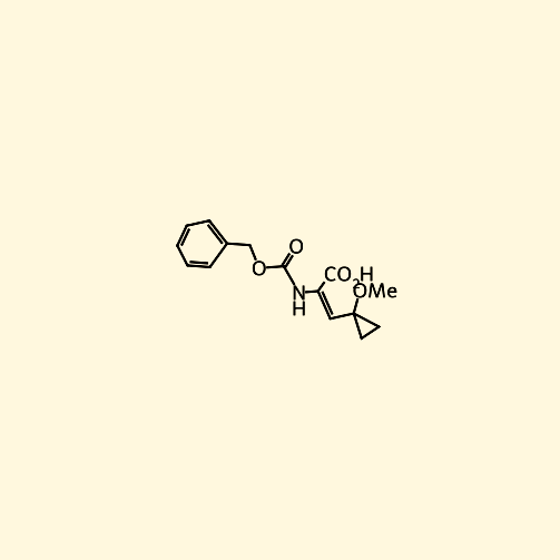 COC1(/C=C(/NC(=O)OCc2ccccc2)C(=O)O)CC1